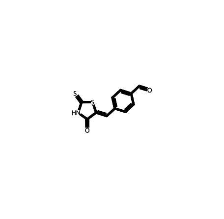 O=Cc1ccc(/C=C2\SC(=S)NC2=O)cc1